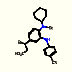 CCC(CC(=O)O)c1ccc(N(CC)C2CCCCC2)c(Nc2ccc(C#N)cc2)c1